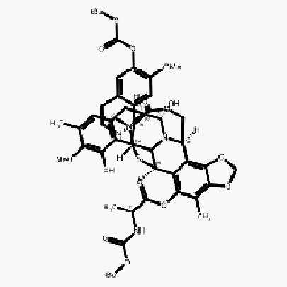 COc1cc2c(cc1OC(=O)OC(C)(C)C)CCN[C@]21CS[C@@H]2c3c(OC(=O)[C@H](C)NC(=O)OC(C)(C)C)c(C)c4c(c3[C@H](COC1=O)N1C2[C@@H]2c3c(cc(C)c(OC)c3O)C[C@@H]([C@@H]1O)N2C)OCO4